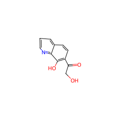 O=C(CO)c1ccc2cccnc2c1O